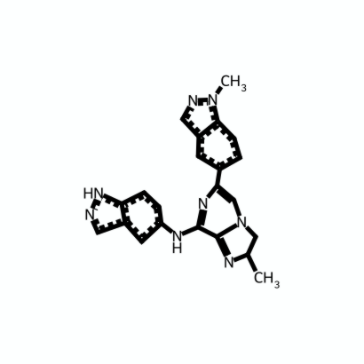 CC1CN2C=C(c3ccc4c(cnn4C)c3)N=C(Nc3ccc4[nH]ncc4c3)C2=N1